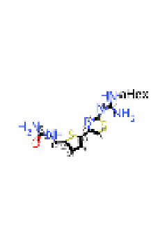 CCCCCCN/C(N)=N/c1nc(-c2ccc(CNC(N)=O)s2)cs1